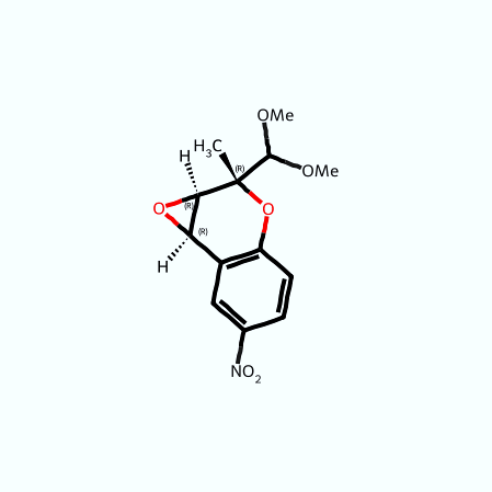 COC(OC)[C@]1(C)Oc2ccc([N+](=O)[O-])cc2[C@H]2O[C@H]21